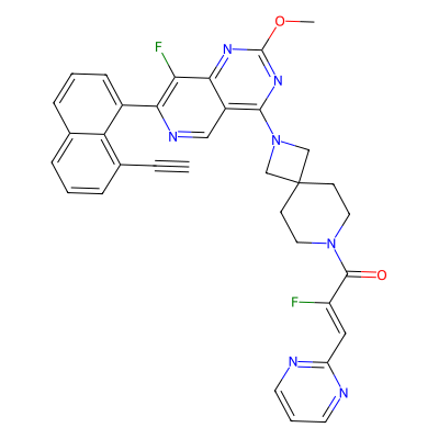 C#Cc1cccc2cccc(-c3ncc4c(N5CC6(CCN(C(=O)/C(F)=C/c7ncccn7)CC6)C5)nc(OC)nc4c3F)c12